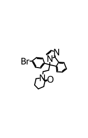 O=C1CCCCN1CCC1(c2ccc(Br)cc2)c2ccccc2-c2nccn21